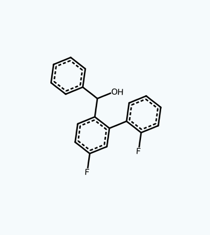 OC(c1ccccc1)c1ccc(F)cc1-c1ccccc1F